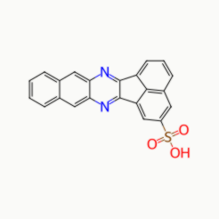 O=S(=O)(O)c1cc2c3c(cccc3c1)-c1nc3cc4ccccc4cc3nc1-2